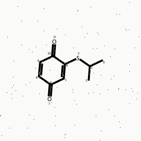 CC(C)SC1=CC(=O)C=CC1=O